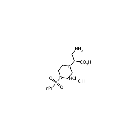 CCCS(=O)(=O)N1CCN([C@@H](CN)C(=O)O)CC1.Cl.Cl